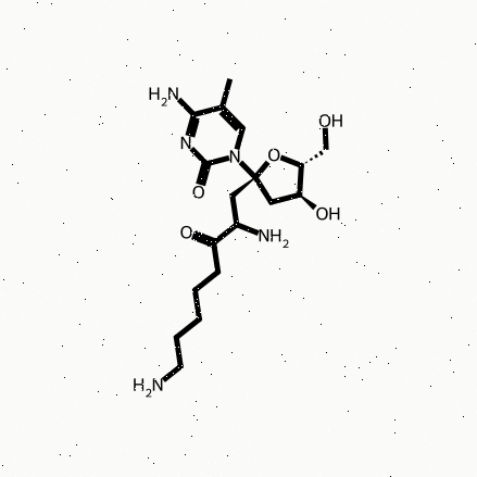 Cc1cn([C@@]2(CC(N)C(=O)CCCCCN)C[C@H](O)[C@@H](CO)O2)c(=O)nc1N